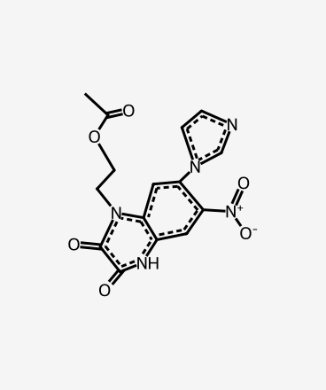 CC(=O)OCCn1c(=O)c(=O)[nH]c2cc([N+](=O)[O-])c(-n3ccnc3)cc21